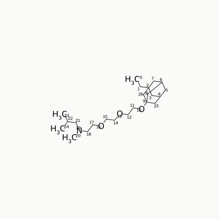 CCC12CC3CC(C1)CC(OCCOCCOCCN(C)CC(C)C)(C3)C2